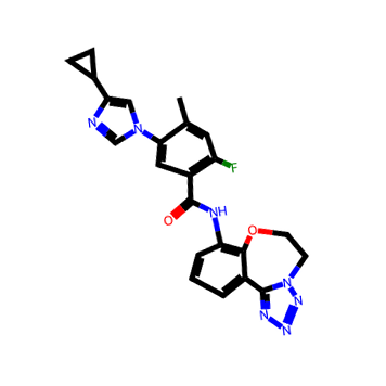 Cc1cc(F)c(C(=O)Nc2cccc3c2OCCn2nnnc2-3)cc1-n1cnc(C2CC2)c1